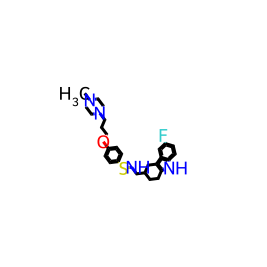 CN1CCN(CCCOc2ccc(SNCC3CCc4[nH]c5ccc(F)cc5c4C3)cc2)CC1